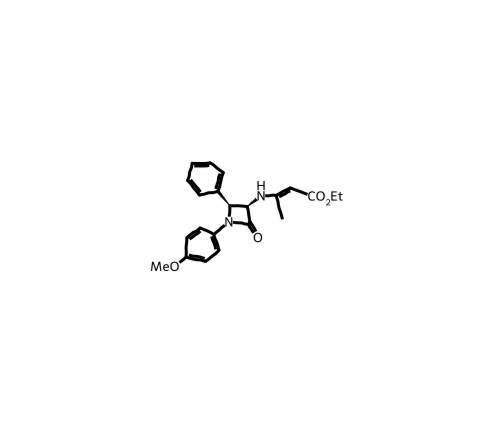 CCOC(=O)/C=C(\C)N[C@H]1C(=O)N(c2ccc(OC)cc2)[C@H]1c1ccccc1